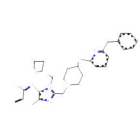 C=C/C(=N\c1c(C)nc(CN2CCC(Oc3cccc(Cc4ccccc4)n3)CC2)n1C[C@@H]1CCO1)C(=O)O